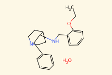 CCOc1ccccc1CNC1C2CCN(CC2)C1c1ccccc1.O